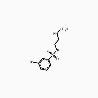 O=C(O)NCCNS(=O)(=O)c1cccc(Br)c1